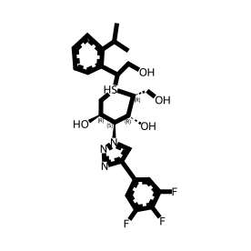 CC(C)c1ccccc1C(CO)[SH]1C[C@H](O)[C@H](n2cc(-c3cc(F)c(F)c(F)c3)nn2)[C@@H](O)[C@H]1CO